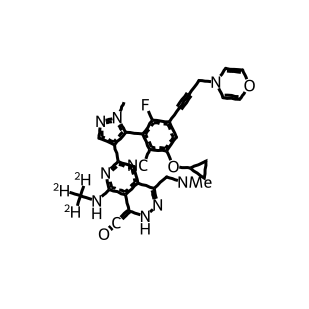 [2H]C([2H])([2H])Nc1nc(-c2cnn(C)c2-c2c(F)c(C#CCN3C=COC=C3)cc(OC3CC3)c2C#N)cc2c1C(=C=O)NN=C2CNC